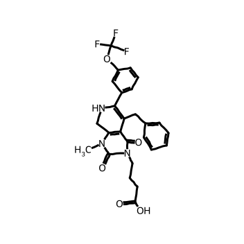 Cn1c2c(c(=O)n(CCCC(=O)O)c1=O)C(Cc1ccccc1)=C(c1cccc(OC(F)(F)F)c1)NC2